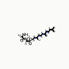 CC(C)=C/C=C/C(C)=C/C=C/C(C)=C/COC(=O)[C@H](C)NC(=O)[C@H](C)N